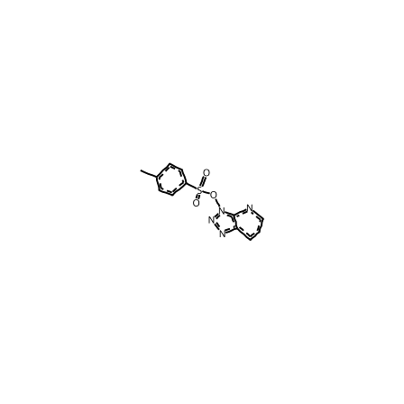 Cc1ccc(S(=O)(=O)On2nnc3cccnc32)cc1